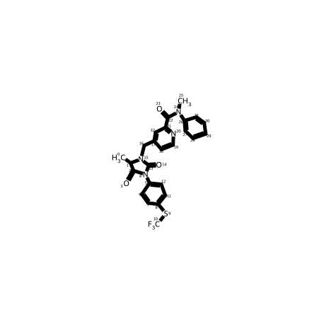 CC1C(=O)N(c2ccc(SC(F)(F)F)cc2)C(=O)N1Cc1ccnc(C(=O)N(C)c2ccccc2)c1